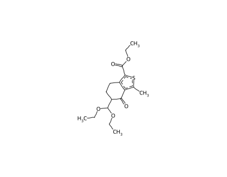 CCOC(=O)c1sc(C)c2c1CCC(C(OCC)OCC)C2=O